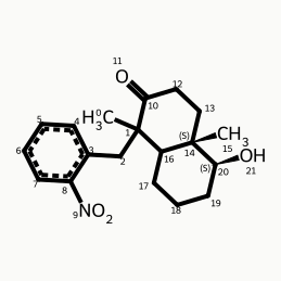 CC1(Cc2ccccc2[N+](=O)[O-])C(=O)CC[C@@]2(C)C1CCC[C@@H]2O